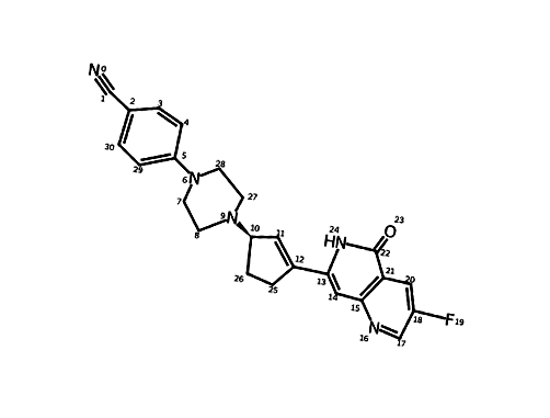 N#Cc1ccc(N2CCN([C@H]3C=C(c4cc5ncc(F)cc5c(=O)[nH]4)CC3)CC2)cc1